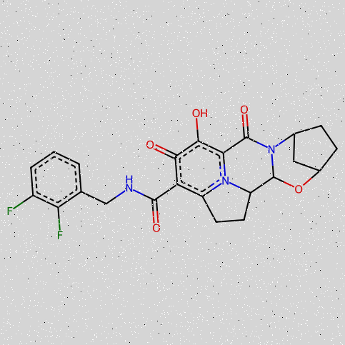 O=C(NCc1cccc(F)c1F)c1c2n3c(c(O)c1=O)C(=O)N1C4CCC(C4)OC1C3CC2